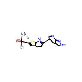 CCC(O)(c1cc2ccc(-c3cnc4nn(C)cc4c3)nc2s1)C(F)(F)F